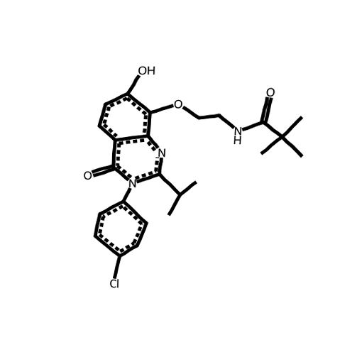 CC(C)c1nc2c(OCCNC(=O)C(C)(C)C)c(O)ccc2c(=O)n1-c1ccc(Cl)cc1